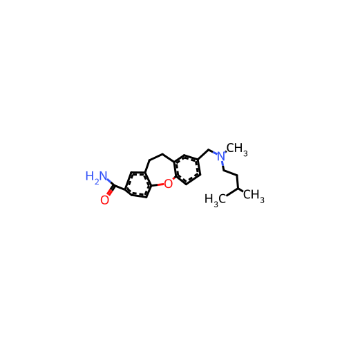 CC(C)CCN(C)Cc1ccc2c(c1)CCc1cc(C(N)=O)ccc1O2